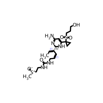 C/C=C(\C=C/CNC(=O)NCC[S+](C)[O-])[C@@H]1N=C(N)C=C(C2(S(=O)(=O)CCCO)CC2)N1